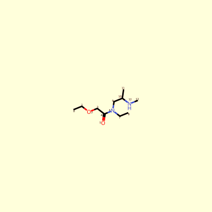 CCOCC(=O)N(CC)CC(C)NC